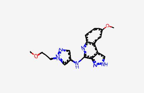 COCCn1cc(Nc2nc3ccc(OC)cc3c3c[nH]nc23)cn1